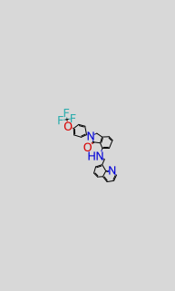 O=C1c2c(cccc2NCc2cccc3cccnc23)CN1c1ccc(OC(F)(F)F)cc1